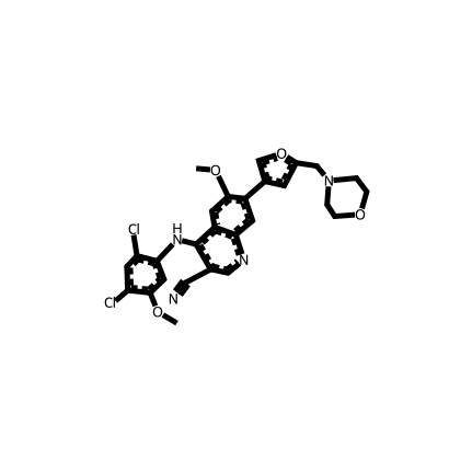 COc1cc(Nc2c(C#N)cnc3cc(-c4coc(CN5CCOCC5)c4)c(OC)cc23)c(Cl)cc1Cl